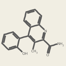 Cc1c(C(N)=O)nc2ccccc2c1-c1ccccc1O